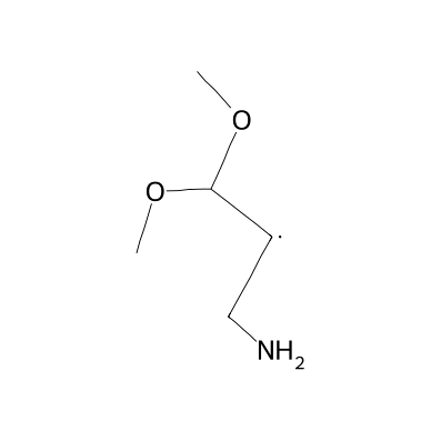 COC([CH]CN)OC